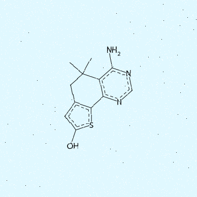 CC1(C)Cc2cc(O)sc2-c2ncnc(N)c21